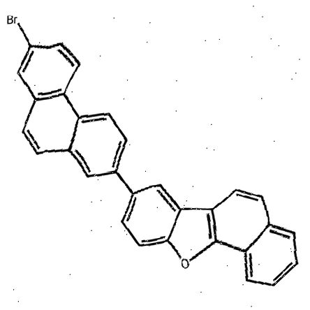 Brc1ccc2c(ccc3cc(-c4ccc5oc6c7ccccc7ccc6c5c4)ccc32)c1